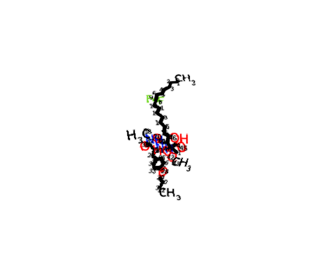 CCCCCCCC(F)(F)CCCCCC/C=C/[C@H](C(=O)N[C@@H](Cc1ccc(OCCCC)cc1)C(=O)NC)[C@@](O)(COC)C(=O)O